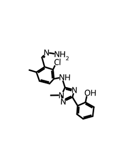 Cc1ccc(Nc2nc(-c3ccccc3O)nn2C)c(Cl)c1/C=N\N